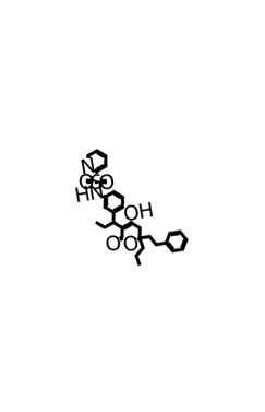 CCCC1(CCc2ccccc2)CC(O)=C(C(CC)c2cccc(NS(=O)(=O)c3ccccn3)c2)C(=O)O1